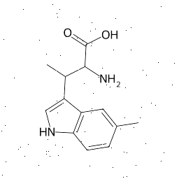 Cc1ccc2[nH]cc(C(C)C(N)C(=O)O)c2c1